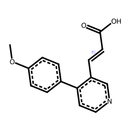 COc1ccc(-c2ccncc2/C=C/C(=O)O)cc1